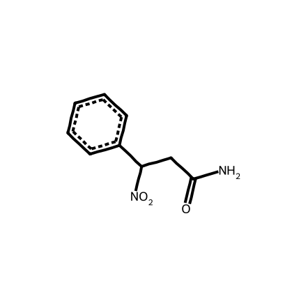 NC(=O)CC(c1ccccc1)[N+](=O)[O-]